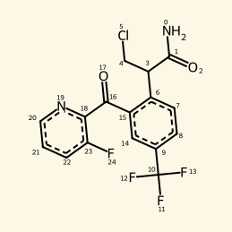 NC(=O)C(CCl)c1ccc(C(F)(F)F)cc1C(=O)c1ncccc1F